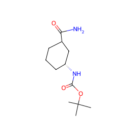 CC(C)(C)OC(=O)N[C@@H]1CCCC(C(N)=O)C1